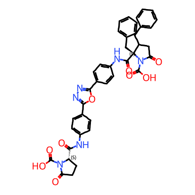 O=C(Nc1ccc(-c2nnc(-c3ccc(NC(=O)[C@]4(Cc5ccccc5)C(Cc5ccccc5)CC(=O)N4C(=O)O)cc3)o2)cc1)[C@@H]1CCC(=O)N1C(=O)O